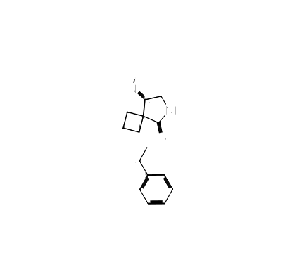 O=C1NCC(=NO)C12CC[C@H]2CCc1ccccc1